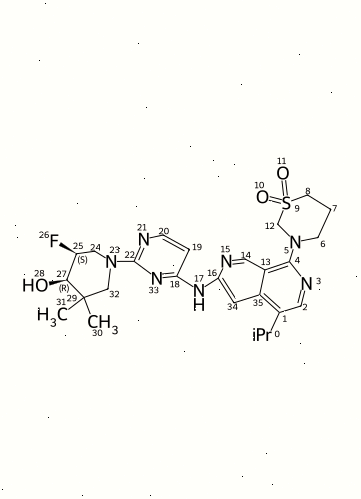 CC(C)c1cnc(N2CCCS(=O)(=O)C2)c2cnc(Nc3ccnc(N4C[C@H](F)[C@H](O)C(C)(C)C4)n3)cc12